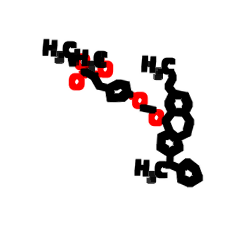 CCCc1ccc2c(c1)C(OCCOc1ccc(CC(OC)C(=O)OCC)cc1)c1ccc(C(C)c3ccccc3)cc1C=C2